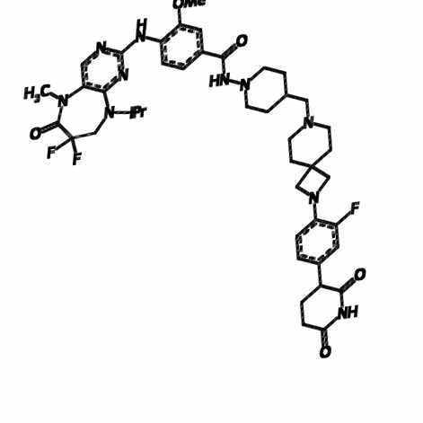 COc1cc(C(=O)NN2CCC(CN3CCC4(CC3)CN(c3ccc(C5CCC(=O)NC5=O)cc3F)C4)CC2)ccc1Nc1ncc2c(n1)N(C(C)C)CC(F)(F)C(=O)N2C